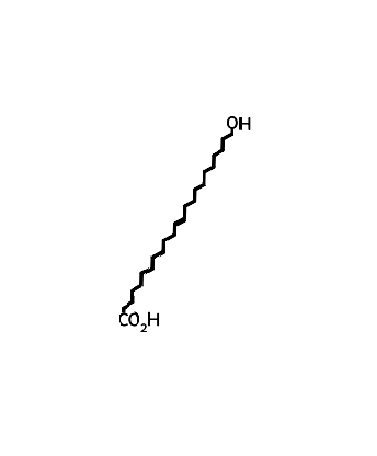 O=C(O)CCCCCCCCCCC=CCCCCCCCCCCO